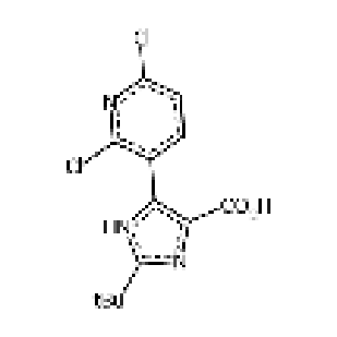 CC(C)(C)c1nc(C(=O)O)c(-c2ccc(Cl)nc2Cl)[nH]1